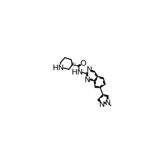 Cn1cc(-c2ccc3cnc(NC(=O)[C@@H]4CCCNC4)nc3c2)cn1